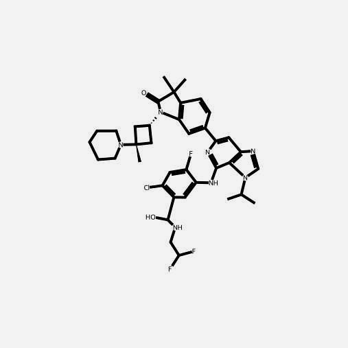 CC(C)n1cnc2cc(-c3ccc4c(c3)N([C@H]3C[C@@](C)(N5CCCCC5)C3)C(=O)C4(C)C)nc(Nc3cc(C(O)NCC(F)F)c(Cl)cc3F)c21